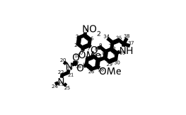 COc1ccc([N+](=O)[O-])cc1OCc1c(-c2ccc(OC(=O)N(C)CCN(C)C)cc2OC)ccc2c1C(C)=CC(C)(C)N2